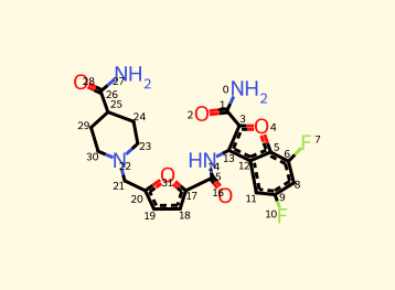 NC(=O)c1oc2c(F)cc(F)cc2c1NC(=O)c1ccc(CN2CCC(C(N)=O)CC2)o1